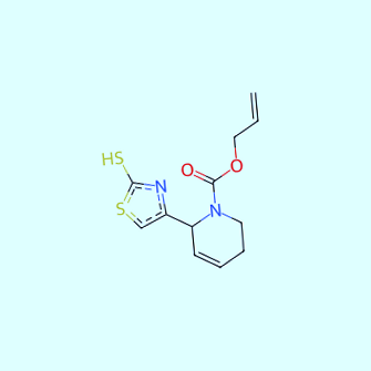 C=CCOC(=O)N1CCC=CC1c1csc(S)n1